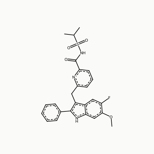 COc1cc2[nH]c(-c3ccccc3)c(Cc3cccc(C(=O)NS(=O)(=O)C(C)C)n3)c2cc1F